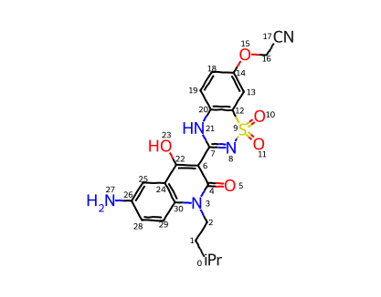 CC(C)CCn1c(=O)c(C2=NS(=O)(=O)c3cc(OCC#N)ccc3N2)c(O)c2cc(N)ccc21